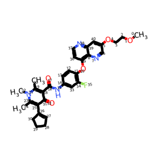 COCCOc1cnc2c(Oc3ccc(NC(=O)c4c(C)n(C)c(C)c(C5=CCCC5)c4=O)cc3F)ccnc2c1